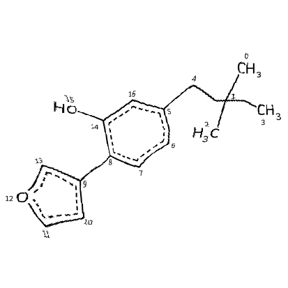 CC(C)(C)Cc1ccc(-c2ccoc2)c(O)c1